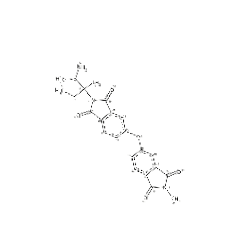 CCC(C)(C(C)N)N1C(=O)c2ccc(Oc3ccc4c(c3)C(=O)N(C)C4=O)cc2C1=O